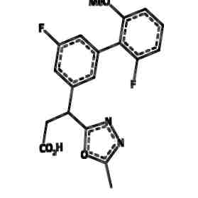 COc1cccc(F)c1-c1cc(F)cc(C(CC(=O)O)c2nnc(C)o2)c1